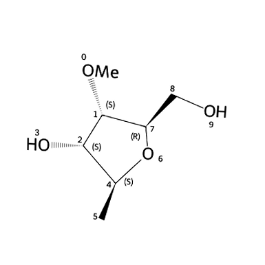 CO[C@H]1[C@@H](O)[C@H](C)O[C@@H]1CO